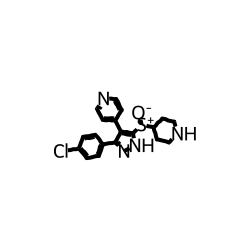 [O-][S+](c1[nH]nc(-c2ccc(Cl)cc2)c1-c1ccncc1)C1CCNCC1